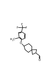 Cc1cc(C(F)(F)F)ccc1OC1CCC2(CC1)CN(C=O)C2